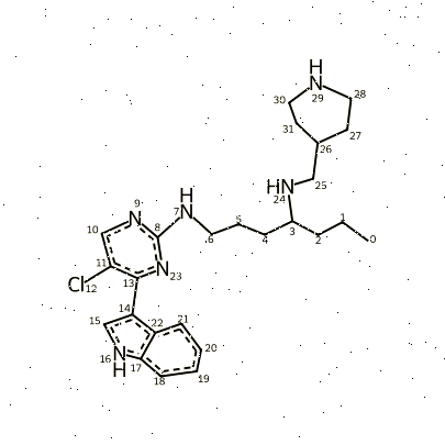 CCCC(CCCNc1ncc(Cl)c(-c2c[nH]c3ccccc23)n1)NCC1CCNCC1